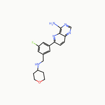 Nc1ncnc2ccc(-c3cc(F)cc(CNC4CCOCC4)c3)nc12